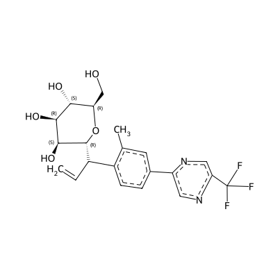 C=CC(c1ccc(-c2cnc(C(F)(F)F)cn2)cc1C)[C@H]1O[C@H](CO)[C@@H](O)[C@H](O)[C@@H]1O